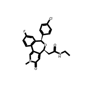 CCNC(=O)C[C@@H]1O[C@H](c2ccc(Cl)cc2)c2cc(F)ccc2-c2cn(C)c(=O)cc21